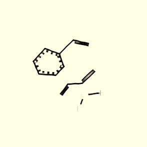 C=CC=C.C=Cc1ccccc1.FOF